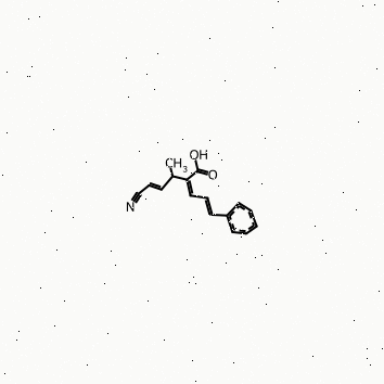 CC(C=CC#N)C(=CC=Cc1ccccc1)C(=O)O